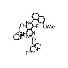 COc1ccc2cccc(-c3nc4c5c(nc(OC[C@@]67CCCN6C[C@H](F)C7)nc5c3F)N3CC5CCC(N5)C3CO4)c2c1